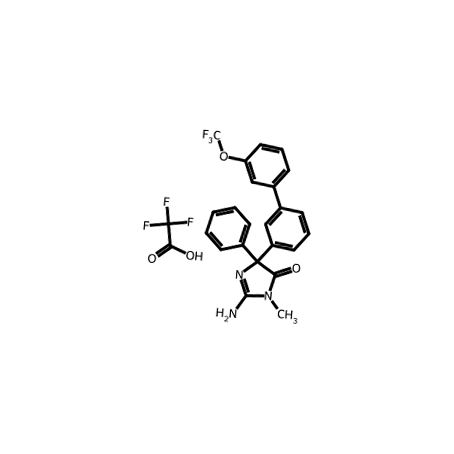 CN1C(=O)C(c2ccccc2)(c2cccc(-c3cccc(OC(F)(F)F)c3)c2)N=C1N.O=C(O)C(F)(F)F